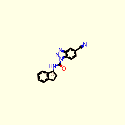 N#Cc1ccc2c(c1)nnn2C(=O)N[C@H]1CCc2ccccc21